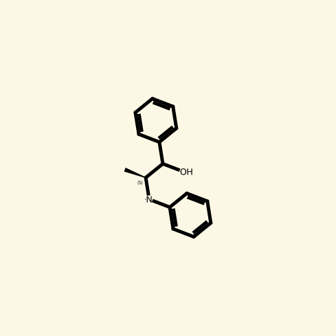 C[C@H]([N]c1ccccc1)C(O)c1ccccc1